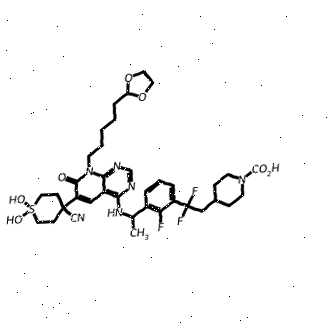 CC(Nc1ncnc2c1cc(C1(C#N)CCS(O)(O)CC1)c(=O)n2CCCCCC1OCCO1)c1cccc(C(F)(F)CC2CCN(C(=O)O)CC2)c1F